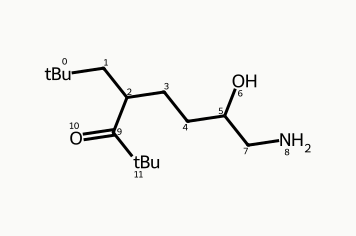 CC(C)(C)CC(CCC(O)CN)C(=O)C(C)(C)C